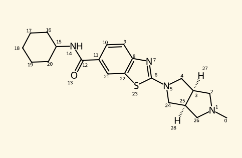 CN1C[C@@H]2CN(c3nc4ccc(C(=O)NC5CCCCC5)cc4s3)C[C@@H]2C1